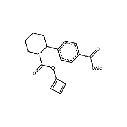 COC(=O)c1ccc(C2CCCCN2C(=O)OC2=CC=C2)cc1